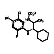 C[C@H](NC(=O)O)[C@@H](Nc1nc(Cl)c(C#N)cc1F)C1CCCCC1